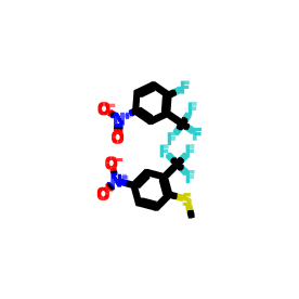 CSc1ccc([N+](=O)[O-])cc1C(F)(F)F.O=[N+]([O-])c1ccc(F)c(C(F)(F)F)c1